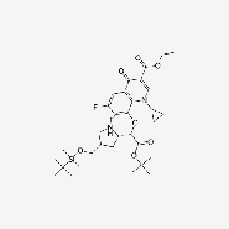 CCOC(=O)c1cn(C2CC2)c2c(OC(C(=O)OC(C)(C)C)[C@@H]3CC(CO[Si](C)(C)C(C)(C)C)CN3)c(F)c(F)cc2c1=O